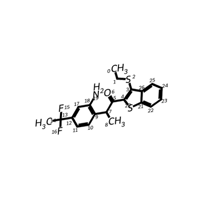 CCSc1c(C(=O)C(C)c2ccc(C(C)(F)F)cc2N)sc2ccccc12